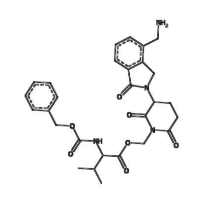 CC(C)C(NC(=O)OCc1ccccc1)C(=O)OCN1C(=O)CCC(N2Cc3c(CN)cccc3C2=O)C1=O